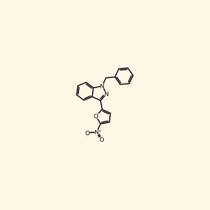 O=[N+]([O-])c1ccc(-c2nn(Cc3ccccc3)c3ccccc23)o1